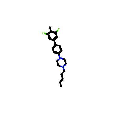 CCCCCN1CCN(c2ccc(-c3cc(F)c(C)c(F)c3)cc2)CC1